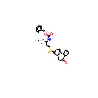 O=C(NC(CC[S+]([O-])c1ccc2c(c1)CCC(=O)C1=C2CCC1)C(=O)O)OCc1ccccc1